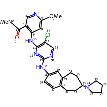 CNC(=O)c1cnc(OC)cc1Nc1nc(Nc2ccc3c(c2)CC[C@@H](N2CCCC2)CC3)ncc1Cl